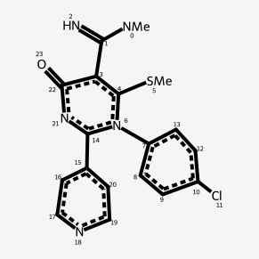 CNC(=N)c1c(SC)n(-c2ccc(Cl)cc2)c(-c2ccncc2)nc1=O